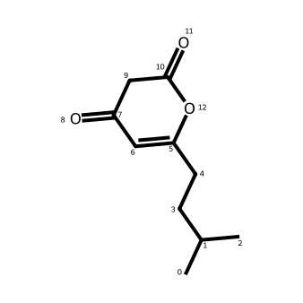 CC(C)CCC1=CC(=O)CC(=O)O1